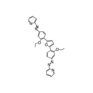 CCOc1cc(N=Nc2ccccn2)ccc1-c1ccc(-c2ccc(N=Nc3ccccn3)cc2OCC)o1